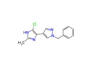 Cc1nc(-c2cnn(Cc3ccccc3)c2)c(Cl)[nH]1